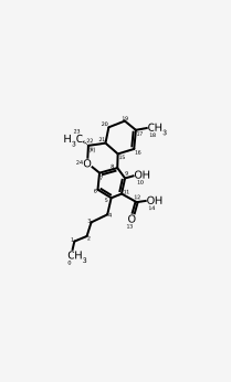 CCCCCc1cc2c(c(O)c1C(=O)O)C1C=C(C)CCC1[C@@H](C)O2